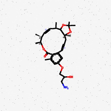 Cc1cc(OCC(O)CN)cc2c1C(=O)O[C@@H](C)[C@H](C)/C=C\C(C)C1OC(C)(C)O[C@H]1C/C=C/2